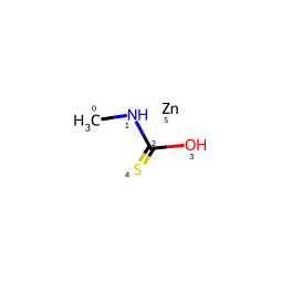 CNC(O)=S.[Zn]